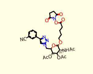 CC(=O)N[C@H]1C(OC(C)=O)[C@@H](OC(C)=O)C(Cn2cc(-c3cccc(C#N)c3)nn2)O[C@H]1OCCCCC(=O)ON1C(=O)CCC1=O